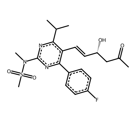 CC(=O)C[C@@H](O)/C=C/c1c(-c2ccc(F)cc2)nc(N(C)S(C)(=O)=O)nc1C(C)C